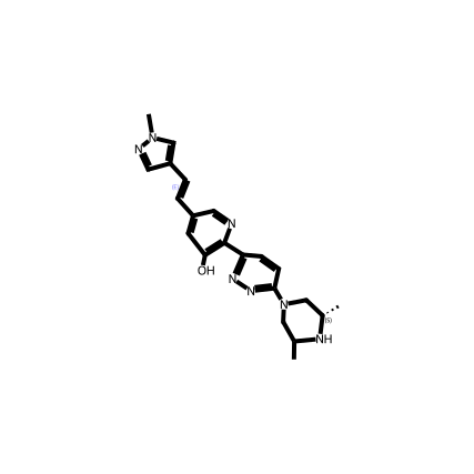 CC1CN(c2ccc(-c3ncc(/C=C/c4cnn(C)c4)cc3O)nn2)C[C@H](C)N1